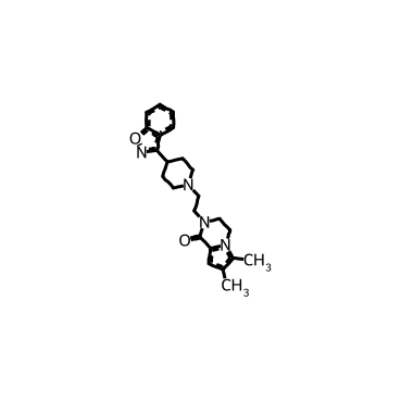 Cc1cc2n(c1C)CCN(CCN1CCC(c3noc4ccccc34)CC1)C2=O